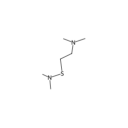 CN(C)CCSN(C)C